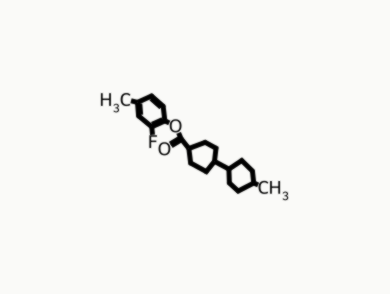 Cc1ccc(OC(=O)C2CCC(C3CCC(C)CC3)CC2)c(F)c1